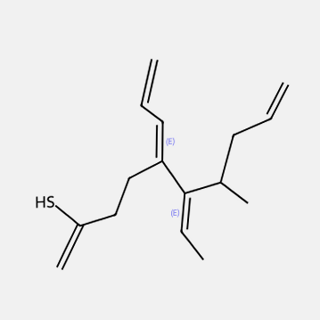 C=C/C=C(CCC(=C)S)/C(=C/C)C(C)CC=C